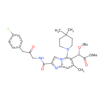 COC(=O)C(OC(C)(C)C)c1c(C)cc2nc(C(=O)NCC(=O)Cc3ccc(F)cc3)cn2c1N1CCC(C)(C)CC1